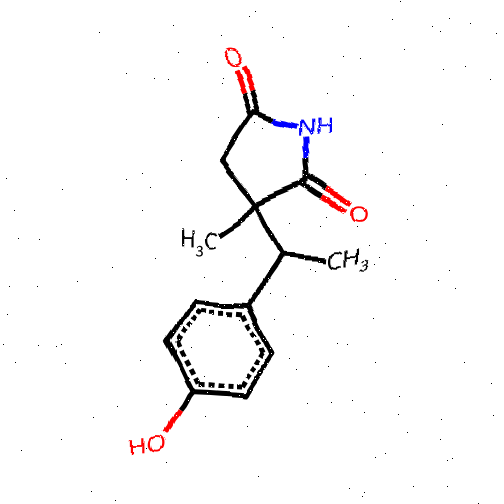 CC(c1ccc(O)cc1)C1(C)CC(=O)NC1=O